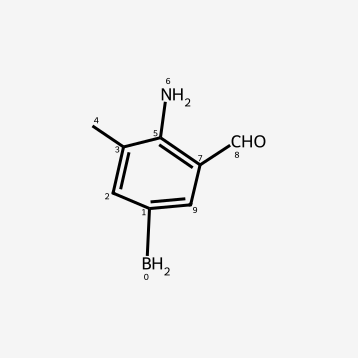 Bc1cc(C)c(N)c(C=O)c1